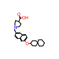 O=C(O)C1CCN(Cc2ccc3cc(OC4CCC5(CCCCC5)CC4)ccc3c2)CC1